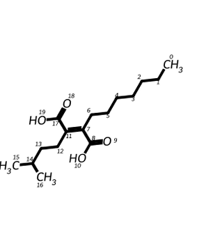 CCCCCCCC(C(=O)O)=C(CCC(C)C)C(=O)O